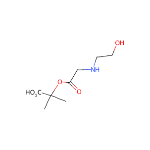 CC(C)(OC(=O)CNCCO)C(=O)O